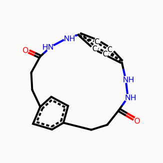 O=C1CCc2ccc(cc2)CCC(=O)NNc2ccc(cc2)NN1